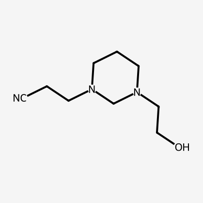 N#CCCN1CCCN(CCO)C1